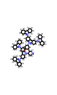 N#Cc1ccc(-n2c3ccc(-n4c5ccccc5c5ccccc54)cc3c3cc(-n4c5ccccc5c5ccccc54)ccc32)cc1-c1cnccc1-n1c2ccc(-n3c4ccccc4c4ccccc43)cc2c2cc(-n3c4ccccc4c4ccccc43)ccc21